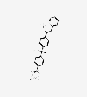 CCn1nnc(-c2ccc(C(C)(c3ccc(C(Cc4ccccn4)OC(F)(F)F)cc3)C(C)C)cc2)n1